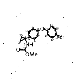 COC(=O)NC1(c2ccc(Oc3ccc(Br)cn3)cc2)CC1